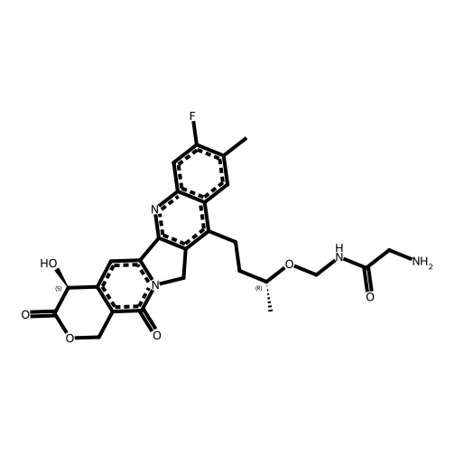 Cc1cc2c(CC[C@@H](C)OCNC(=O)CN)c3c(nc2cc1F)-c1cc2c(c(=O)n1C3)COC(=O)[C@H]2O